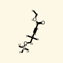 CCOC(=O)C#CC(C)(C)CO[Si](C)(C)C